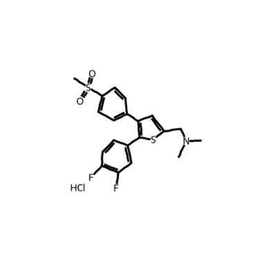 CN(C)Cc1cc(-c2ccc(S(C)(=O)=O)cc2)c(-c2ccc(F)c(F)c2)s1.Cl